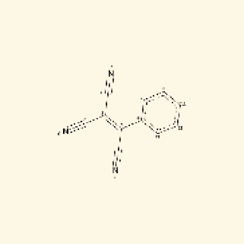 N#CC(C#N)=C(C#N)c1cc[c]cc1